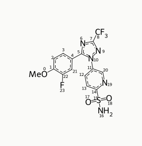 COc1ccc(-c2nc(C(F)(F)F)nn2-c2ccc(S(N)(=O)=O)nc2)cc1F